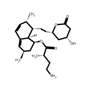 C[C@H]1C=C2C=C[C@H](C)[C@H](CC[C@H]3C[C@@H](O)CC(=O)O3)[C@H]2[C@@H](OC(=O)[C@@H](C)CCN)C1